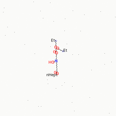 CC/C=C\CCCCOC(CCC(=O)OCCCCCCN(CCO)CCCCCCCCCC(=O)OCCCCCCC)OCCCC/C=C\CC